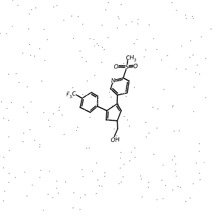 CS(=O)(=O)c1ccc(C2=CC(CO)C=C2c2ccc(C(F)(F)F)cc2)cn1